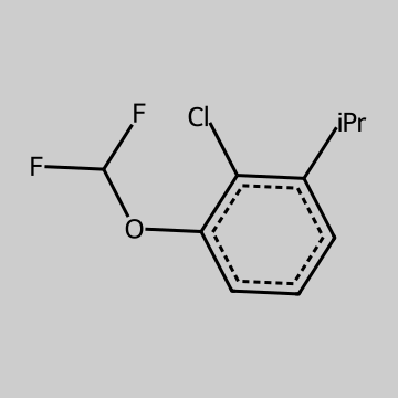 [CH2]C(C)c1cccc(OC(F)F)c1Cl